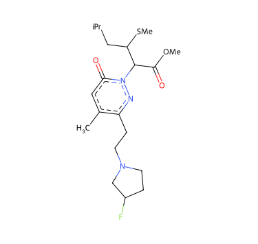 COC(=O)C(C(CC(C)C)SC)n1nc(CCN2CCC(F)C2)c(C)cc1=O